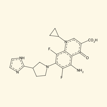 Nc1c(F)c(N2CCC(c3ncc[nH]3)C2)c(F)c2c1c(=O)c(C(=O)O)cn2C1CC1